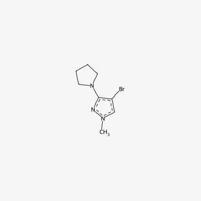 Cn1cc(Br)c(N2CCCC2)n1